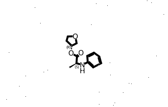 C[C@H](Nc1ccccc1)C(=O)O[C@@H]1CCOC1